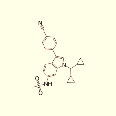 CS(=O)(=O)Nc1ccc2c(-c3ccc(C#N)cc3)cn(C(C3CC3)C3CC3)c2c1